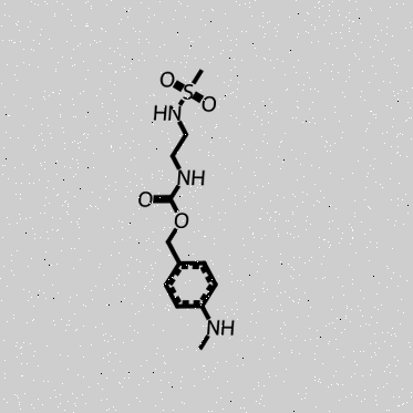 CNc1ccc(COC(=O)NCCNS(C)(=O)=O)cc1